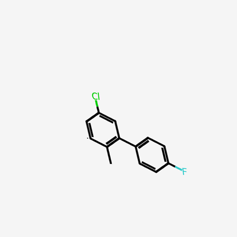 Cc1[c]cc(Cl)cc1-c1ccc(F)cc1